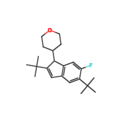 CC(C)(C)C1=Cc2cc(C(C)(C)C)c(F)cc2C1C1CCOCC1